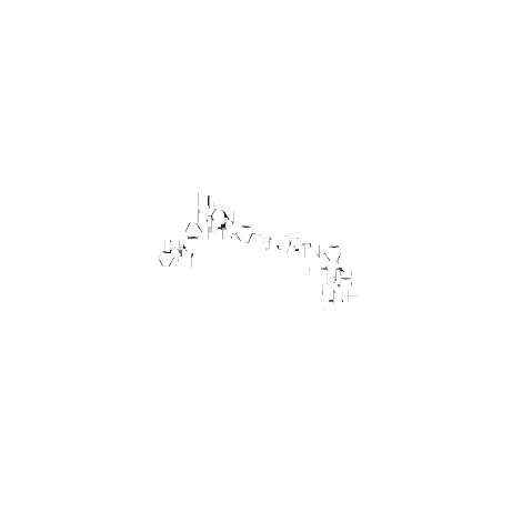 O=C1CCC(N2C(=O)c3cccc(NCC4CC5(CCN(C(=O)Cc6ccc(Nc7ncc(F)c(Nc8ccc(C(=O)Nc9ccccc9Cl)cc8)n7)cc6)CC5)C4)c3C2=O)C(=O)N1